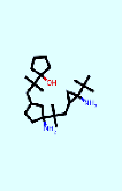 CC(C)(C)C1(N)CC1CC(C)(C)C1(N)CCC(CC(C)(C)C2(O)CCCC2)C1